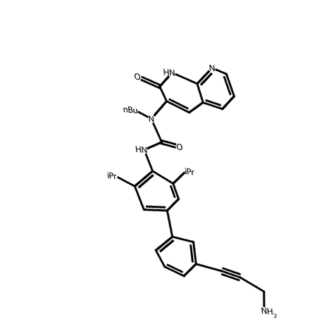 CCCCN(C(=O)Nc1c(C(C)C)cc(-c2cccc(C#CCN)c2)cc1C(C)C)c1cc2cccnc2[nH]c1=O